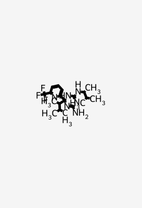 CC(C)C(C)NC1=NC(N)=NC(c2cccc(C(F)(F)F)n2)(C(C)C(C)C)N1